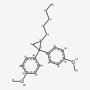 CCCCCC1CC1(c1ccc(OC)cc1)c1ccc(OC)cc1